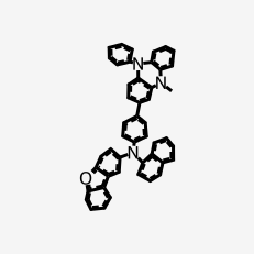 CN1c2ccccc2N(c2ccccc2)c2ccc(-c3ccc(N(c4ccc5oc6ccccc6c5c4)c4cccc5ccccc45)cc3)cc21